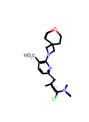 C/C(Cc1ccc(C(=O)O)c(N2CC3(CCOCC3)C2)n1)=C(\Cl)N(C)C